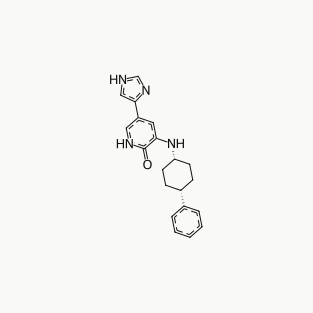 O=c1[nH]cc(-c2c[nH]cn2)cc1N[C@H]1CC[C@@H](c2ccccc2)CC1